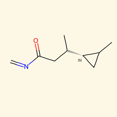 C=NC(=O)CC(C)[C@H]1CC1C